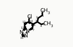 CCCC(CC)c1cn2ncnc2cc1Cl